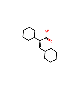 O=C(O)C(=CC1CCCCC1)C1CCCCC1